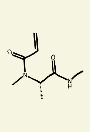 C=CC(=O)N(C)[C@@H](C)C(=O)NC